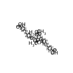 CC1(C)O[C@@H]([C@H]2OC(C)(C)O[C@@H]2COc2ccc(CCc3ccc(C(=O)O)cc3)cc2)[C@H](COc2ccc(CCc3ccc(C(=O)O)cc3)cc2)O1